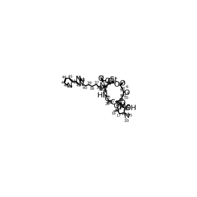 CC[C@H]1OC(=O)[C@H](C)C(=O)[C@H](C)[C@@H](O[C@@H]2O[C@H](C)CC(N(C)C)C2O)[C@](C)(OC)C[C@@H](C)CN[C@H](C)[C@H]2N(CCCCCn3cc(-c4ccccn4)nn3)C(=O)O[C@]12Cl